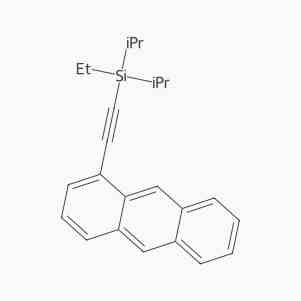 CC[Si](C#Cc1cccc2cc3ccccc3cc12)(C(C)C)C(C)C